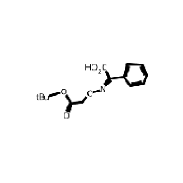 CC(C)(C)OC(=O)CON=C(C(=O)O)c1ccccc1